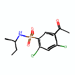 CCC(C)NS(=O)(=O)c1cc(C(C)=O)c(Cl)cc1Cl